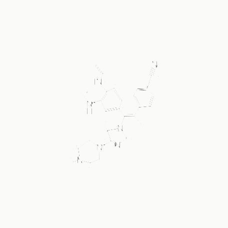 C=CNc1ccc(/C(=C(/C)c2ccc(C#N)cc2)N2CN=C(N3CCN(C)CC3)C2C)cc1NC